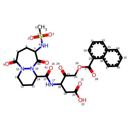 CS(=O)(=O)NC1CCC(=O)N2CCCC(C(=O)NC(CC(=O)O)C(=O)COC(=O)c3cccc4ccccc34)N2C1=O